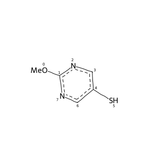 COc1ncc(S)cn1